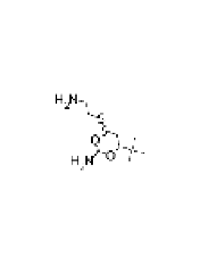 CC(C)(C)C(CSSCCN)OC(N)=O